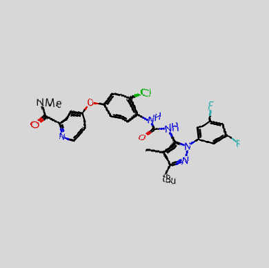 CNC(=O)c1cc(Oc2ccc(NC(=O)Nc3c(C)c(C(C)(C)C)nn3-c3cc(F)cc(F)c3)c(Cl)c2)ccn1